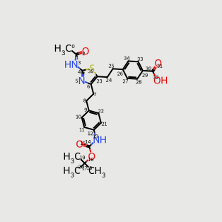 CC(=O)Nc1nc(CCc2ccc(NC(=O)OC(C)(C)C)cc2)c(CCc2ccc(C(=O)O)cc2)s1